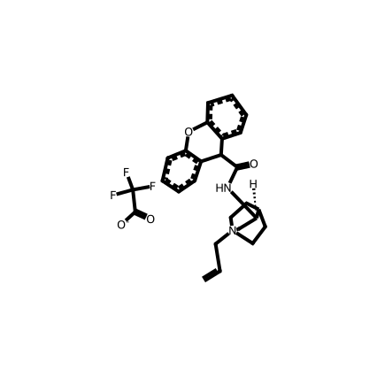 C=CC[N+]12CCC(CC1)[C@H](NC(=O)C1c3ccccc3Oc3ccccc31)C2.O=C([O-])C(F)(F)F